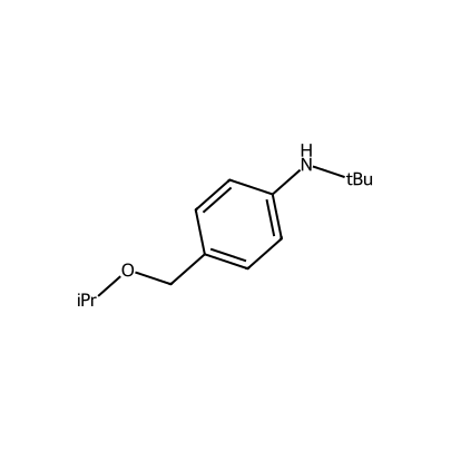 CC(C)OCc1ccc(NC(C)(C)C)cc1